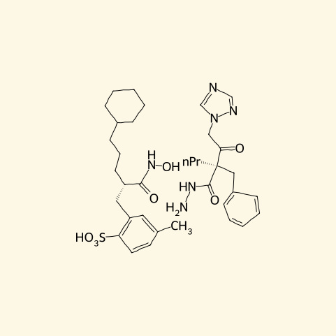 CCC[C@@](Cc1ccccc1)(C(=O)Cn1cncn1)C(=O)NN.Cc1ccc(S(=O)(=O)O)c(C[C@H](CCCC2CCCCC2)C(=O)NO)c1